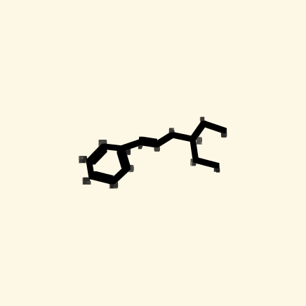 CCC(CC)CC=Cc1ccccc1